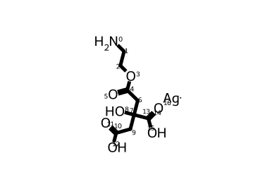 NCCOC(=O)CC(O)(CC(=O)O)C(=O)O.[Ag]